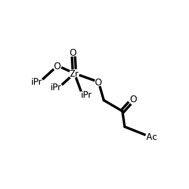 CC(=O)CC(=O)C[O][Zr](=[O])([O]C(C)C)([CH](C)C)[CH](C)C